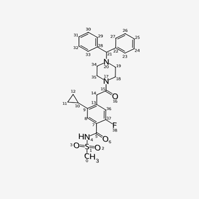 CS(=O)(=O)NC(=O)c1cc(C2CC2)c(CC(=O)N2CCN(C(c3ccccc3)c3ccccc3)CC2)cc1F